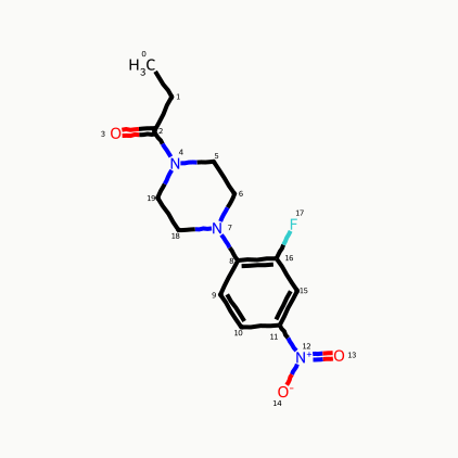 CCC(=O)N1CCN(c2ccc([N+](=O)[O-])cc2F)CC1